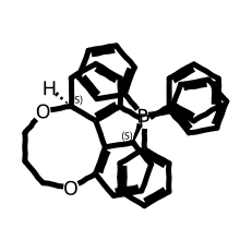 C1=CC(P(c2ccccc2)c2ccccc2)=C2C3=C(C=CC[C@@H]3P(c3ccccc3)c3ccccc3)OCCCO[C@H]2C1